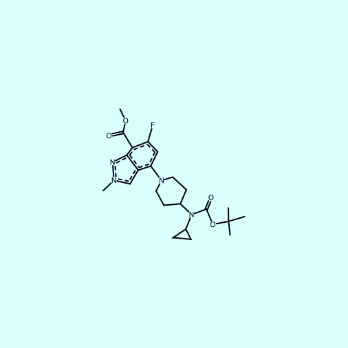 COC(=O)c1c(F)cc(N2CCC(N(C(=O)OC(C)(C)C)C3CC3)CC2)c2cn(C)nc12